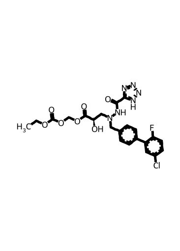 CCOC(=O)OCOC(=O)[C@H](O)CN(Cc1ccc(-c2cc(Cl)ccc2F)cc1)NC(=O)c1nnn[nH]1